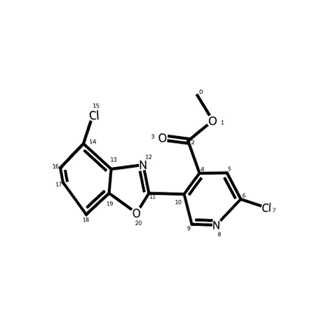 COC(=O)c1cc(Cl)ncc1-c1nc2c(Cl)cccc2o1